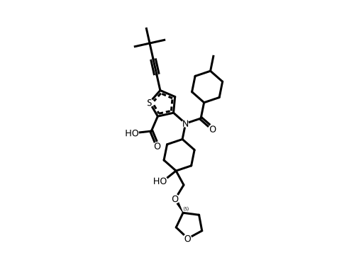 CC1CCC(C(=O)N(c2cc(C#CC(C)(C)C)sc2C(=O)O)C2CCC(O)(CO[C@H]3CCOC3)CC2)CC1